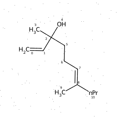 C=CC(C)(O)CC/C=C(\C)CCC